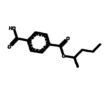 CCCC(C)OC(=O)c1ccc(C(=O)O)cc1